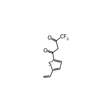 C=Cc1ccc(C(=O)CC(=O)C(F)(F)F)s1